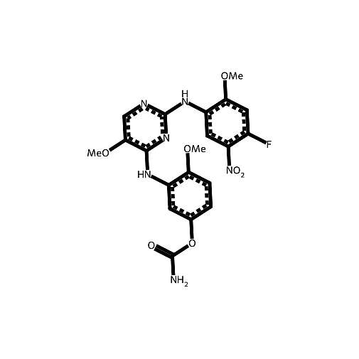 COc1cc(F)c([N+](=O)[O-])cc1Nc1ncc(OC)c(Nc2cc(OC(N)=O)ccc2OC)n1